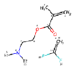 C=C(C)C(=O)OCCN(CC)CC.C=C(F)F